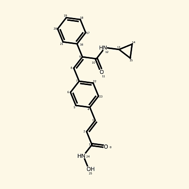 O=C(/C=C/c1ccc(C=C(C(=O)NC2CC2)c2ccccc2)cc1)NO